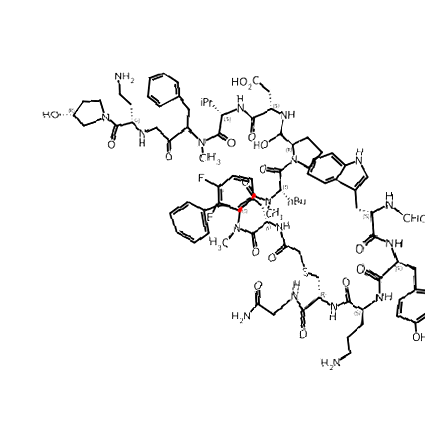 CCCC[C@@H](C(=O)N1CCC[C@@H]1C(O)N[C@@H](CC(=O)O)C(=O)N[C@H](C(=O)N(C)C(Cc1ccccc1)C(=O)CN[C@@H](CCN)C(=O)N1CC[C@@H](O)C1)C(C)C)N(C)C(=O)[C@H](Cc1ccccc1)N(C)C(=O)[C@H](Cc1ccc(F)c(F)c1)NC(=O)CSC[C@H](NC(=O)[C@H](CCCN)NC(=O)[C@H](Cc1ccc(O)cc1)NC(=O)[C@H](Cc1c[nH]c2ccccc12)NC=O)C(=O)NCC(N)=O